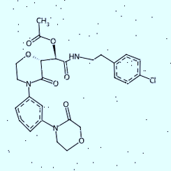 CC(=O)O[C@@H](C(=O)NCCc1ccc(Cl)cc1)[C@H]1OCCN(c2cccc(N3CCOCC3=O)c2)C1=O